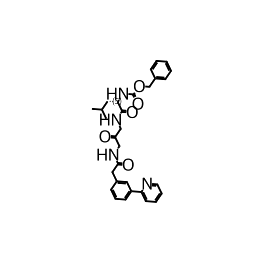 CC(C)C[C@H](NC(=O)OCc1ccccc1)C(=O)NCC(=O)CNC(=O)Cc1cccc(-c2ccccn2)c1